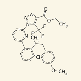 CCOC(=O)c1cnn(-c2cccc(-c3cccc(Cl)c3C(C)Cc3ccc(OC)cc3)n2)c1C(F)(F)F